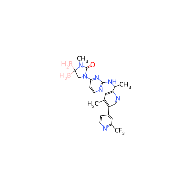 BC1(B)CN(c2ccnc(NC(C)c3cc(C)c(-c4ccnc(C(F)(F)F)c4)cn3)n2)C(=O)N1C